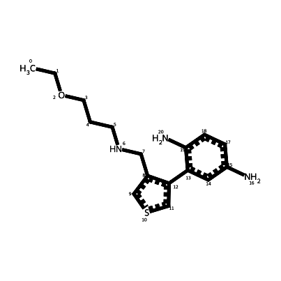 CCOCCCNCc1cscc1-c1cc(N)ccc1N